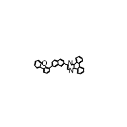 c1ccc2c(c1)oc1c(-c3ccc4ccc(-c5cnc6c7ccccc7c7ccccc7c6n5)cc4c3)cccc12